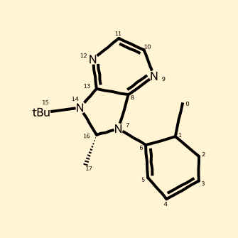 CC1CC=CC=C1N1c2nccnc2N(C(C)(C)C)[C@H]1C